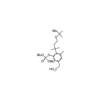 Cc1cc(CC(=O)O)cc(OP(=O)(OCC(C)C)OCC(C)C)c1C(C)(C)CCO[Si](C)(C)C(C)(C)C